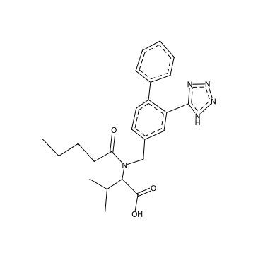 CCCCC(=O)N(Cc1ccc(-c2ccccc2)c(-c2nnn[nH]2)c1)C(C(=O)O)C(C)C